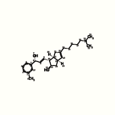 Cc1cccc([C@H](O)/C=C/[C@@H]2[C@H]3CC(CCCCCN(C)C)=C[C@H]3C[C@H]2O)c1